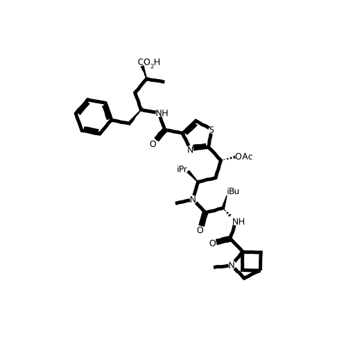 CC[C@H](C)[C@H](NC(=O)C12CC(CN1C)C2)C(=O)N(C)[C@H](C[C@@H](OC(C)=O)c1nc(C(=O)N[C@@H](Cc2ccccc2)C[C@H](C)C(=O)O)cs1)C(C)C